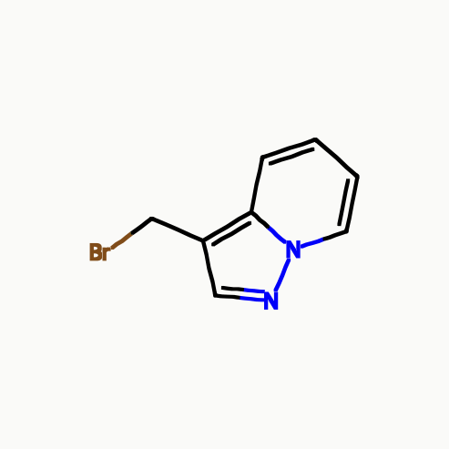 BrCc1cnn2ccccc12